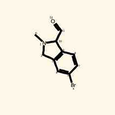 CN1Cc2cc(Br)ccc2C1C=O